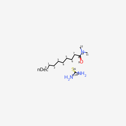 CCCCCCCCCCCCCCCCCC(=O)N(C)C.NC(N)=S